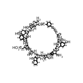 CCC[C@@H]1NC(=O)[C@H](Cc2c[nH]c3ncccc23)NC(=O)[C@H]([C@@H](C)O)NC(=O)[C@@H]2C[C@H](N)CN2C(=O)[C@H](Cc2ccc(O)cc2)NC(=O)[C@H](C(C)(C)C)NC(=O)CCSCc2cccc(c2)CSC[C@@H](C(N)=O)NC(=O)[C@H]([C@@H](C)O)NC(=O)[C@H](C2CCCCC2)NC(=O)[C@H](Cc2ccc(O)cc2)NC(=O)[C@H](CCCC(=O)O)NC1=O